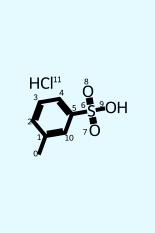 Cc1cccc(S(=O)(=O)O)c1.Cl